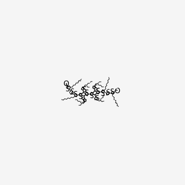 CCCCCCCCc1cc(C=O)sc1-c1ccc(-c2sc(-c3cc4c(-c5ccc(CC(CC)CCCC)s5)c5sc(-c6cc7c(-c8ccc(CC(CC)CCCC)s8)c8sc(-c9cc(CCCCCCCC)c(-c%10ccc(-c%11sc(C=O)cc%11CCCCCCCC)s%10)s9)cc8c(-c8ccc(CC(CC)CCCC)s8)c7s6)cc5c(-c5ccc(CC(CC)CCCC)s5)c4s3)cc2CCCCCCCC)s1